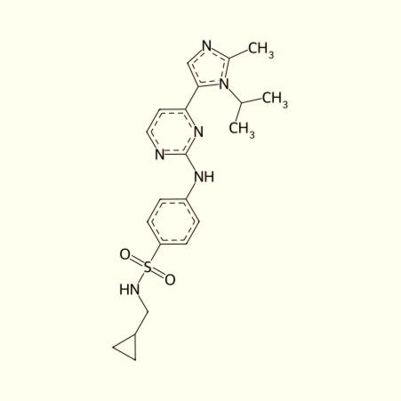 Cc1ncc(-c2ccnc(Nc3ccc(S(=O)(=O)NCC4CC4)cc3)n2)n1C(C)C